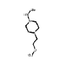 CC(C)(C)NN1CCN(CCOC(C)(C)C)CC1